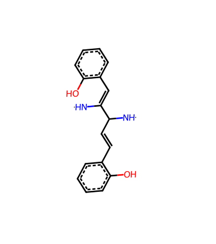 [NH]C(=Cc1ccccc1O)C([NH])C=Cc1ccccc1O